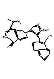 CC(N)c1n[nH]c(=O)c2ccc(-c3cnn(C)c3-c3ccc4ccccc4c3C#N)cc12